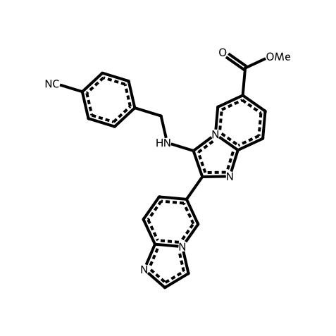 COC(=O)c1ccc2nc(-c3ccc4nccn4c3)c(NCc3ccc(C#N)cc3)n2c1